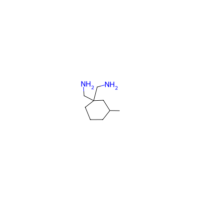 CC1CCCC(CN)(CN)C1